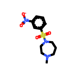 CN1CCCN(S(=O)(=O)c2[c]ccc([N+](=O)[O-])c2)CC1